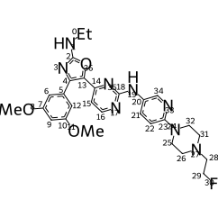 CCNc1nc(-c2cc(OC)cc(OC)c2)c(-c2ccnc(Nc3ccc(N4CCN(CCF)CC4)nc3)n2)o1